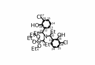 CCO[Si](OCC)(OCC)C(CC)N(C(CC)c1cccc(Cl)c1O)C(CC)c1cccc(Cl)c1O